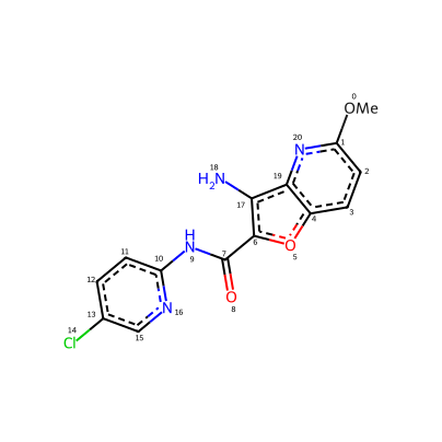 COc1ccc2oc(C(=O)Nc3ccc(Cl)cn3)c(N)c2n1